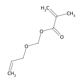 C=CCOCOC(=O)C(=C)C